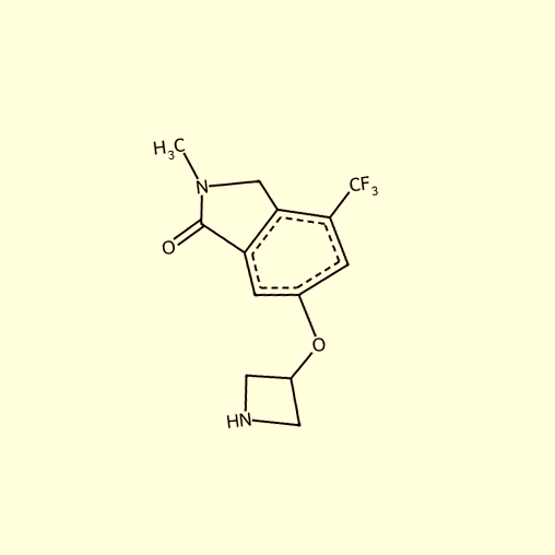 CN1Cc2c(cc(OC3CNC3)cc2C(F)(F)F)C1=O